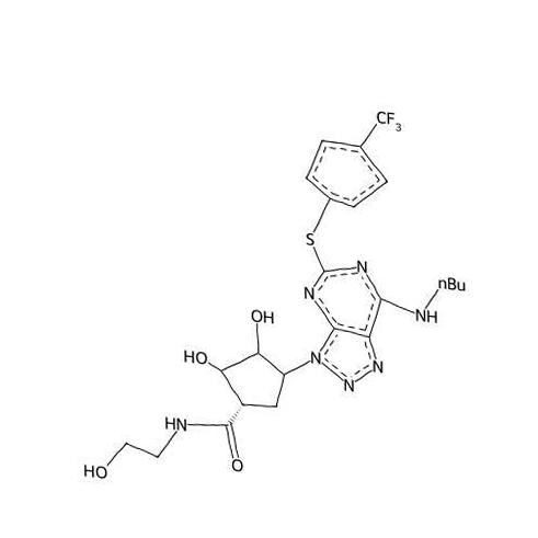 CCCCNc1nc(Sc2ccc(C(F)(F)F)cc2)nc2c1nnn2C1C[C@H](C(=O)NCCO)C(O)C1O